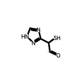 O=[C]C(S)c1nc[nH]n1